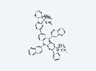 CC1(C)c2cc(-c3ccc4c(c3)C(c3ccc5ccccc5c3)=C3C=C5C(=CC3C4c3ccc4ccccc4c3)c3ccccc3[Si]5(C)C)ccc2C2C=CC=CC21C